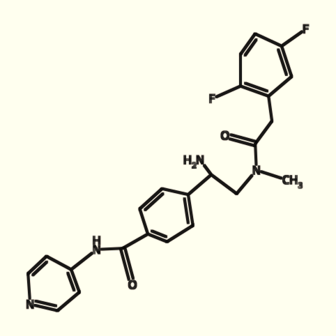 CN(CC(N)c1ccc(C(=O)Nc2ccncc2)cc1)C(=O)Cc1cc(F)ccc1F